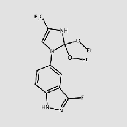 CCOC1(OCC)NC(C(F)(F)F)=CN1c1ccc2[nH]nc(F)c2c1